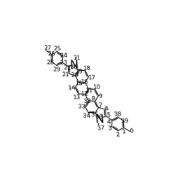 Cc1ccc(-c2cc3c4ccc5c(ccc6c5ccc5c6cc(-c6ccc(C)cc6)n5C)c4ccc3n2C)cc1